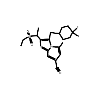 CCS(=O)(=O)C(C)c1nc2cc(C#N)cc(C)n2c1CC1CCC(F)(F)CC1